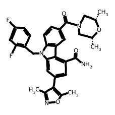 Cc1noc(C)c1-c1cc(C(N)=O)c2c3cc(C(=O)N4C[C@@H](C)O[C@@H](C)C4)ccc3n(Cc3ccc(F)cc3F)c2c1